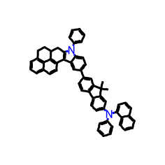 CC1(C)c2cc(-c3ccc4c(c3)c3c(n4-c4ccccc4)CC4CCc5cccc6ccc-3c4c56)ccc2-c2ccc(N(c3ccccc3)c3cccc4ccccc34)cc21